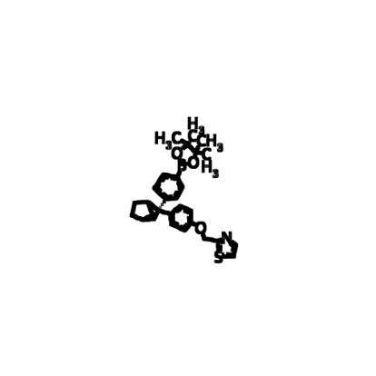 CC1(C)OB(c2ccc([C@]3(c4ccc(OCc5nccs5)cc4)CC4CCC3C4)cc2)OC1(C)C